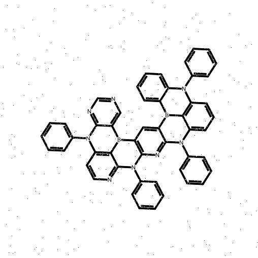 c1ccc(N2c3ccccc3B3c4cc5c(nc4N(c4ccccc4)c4cccc2c43)N(c2ccccc2)c2nccc3c2B5c2cncnc2N3c2ccccc2)cc1